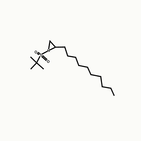 CCCCCCCCCCC1CN1S(=O)(=O)C(C)(C)C